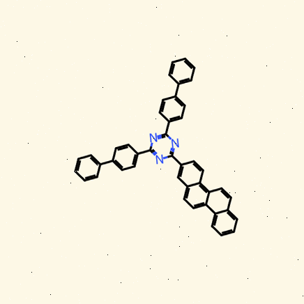 c1ccc(-c2ccc(-c3nc(-c4ccc(-c5ccccc5)cc4)nc(-c4ccc5c(ccc6c7ccccc7ccc56)c4)n3)cc2)cc1